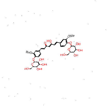 COc1cc(/C=C/C(=O)/C=C(O)/C=C/c2ccc(O[C@@H]3O[C@H](CO)[C@@H](O)[C@H](O)[C@H]3O)c(OC)c2)ccc1O[C@@H]1O[C@H](CO)[C@@H](O)[C@H](O)[C@H]1O